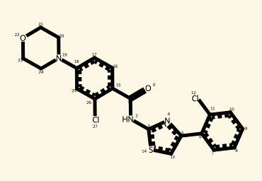 O=C(Nc1nc(-c2ccccc2Cl)cs1)c1ccc(N2CCOCC2)cc1Cl